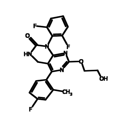 Cc1cc(F)ccc1-c1nc(OCCO)nc2c1CNC(=O)N2c1c(F)cccc1F